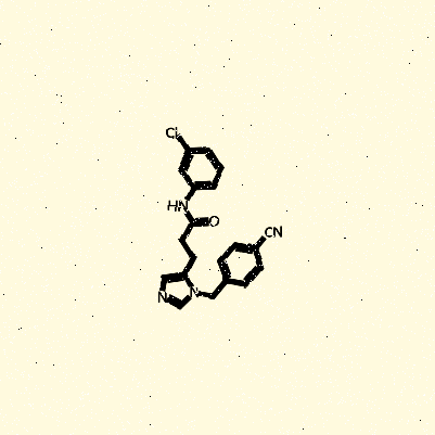 N#Cc1ccc(Cn2cncc2CCC(=O)Nc2cccc(Cl)c2)cc1